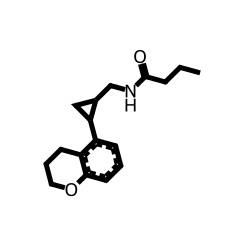 CCCC(=O)NCC1CC1c1cccc2c1CCCO2